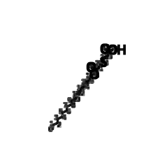 CCCCCCCCCCCCCCCCCCOC(=O)CCSCCC(=O)O